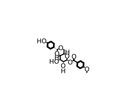 COc1ccc(C(=O)O[C@@H]2O[C@@H]3CO[C@@H](c4ccc(O)cc4)O[C@H]3[C@H](O)[C@H]2O)cc1